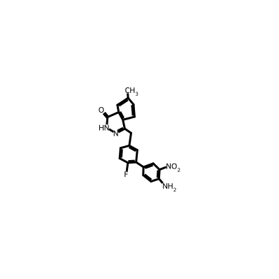 Cc1ccc2c(Cc3ccc(F)c(-c4ccc(N)c([N+](=O)[O-])c4)c3)n[nH]c(=O)c2c1